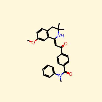 COc1ccc2c(c1)C(=CC(=O)c1ccc(C(=O)N(C)c3ccccc3)cc1)NC(C)(C)C2